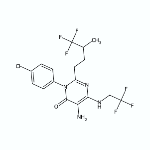 CC(CCc1nc(NCC(F)(F)F)c(N)c(=O)n1-c1ccc(Cl)cc1)C(F)(F)F